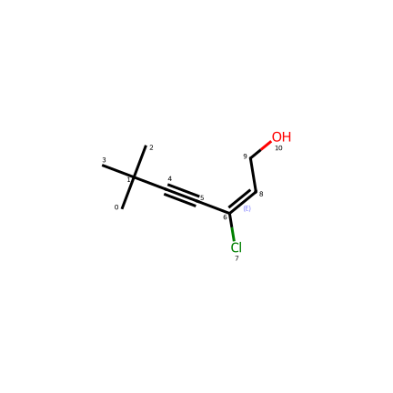 CC(C)(C)C#C/C(Cl)=C\CO